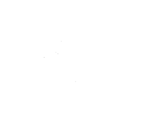 N#Cc1cccc2cc(OCCc3cccc(C4OCCO4)c3)[nH]c12